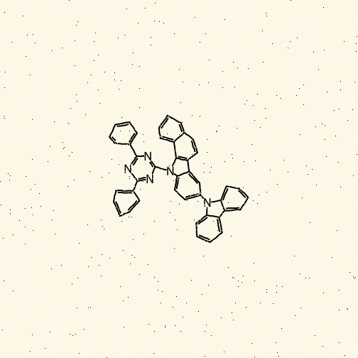 c1ccc(-c2nc(-c3ccccc3)nc(-n3c4ccc(-n5c6ccccc6c6ccccc65)cc4c4ccc5ccccc5c43)n2)cc1